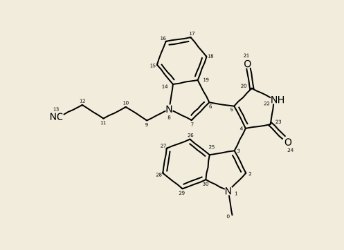 Cn1cc(C2=C(c3cn(CCCCC#N)c4ccccc34)C(=O)NC2=O)c2ccccc21